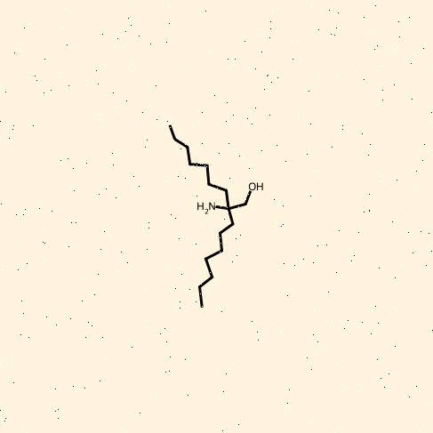 CCCCCCCC(N)(CO)CCCCCCC